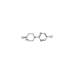 O=[PH]1CCN(c2ncc(Cl)cn2)CC1